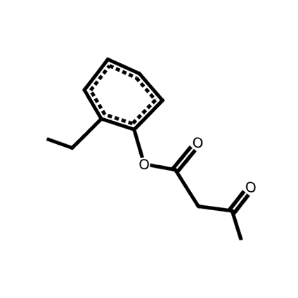 CCc1ccccc1OC(=O)CC(C)=O